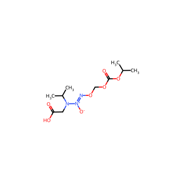 CC(C)OC(=O)OCON=[N+]([O-])N(CC(=O)O)C(C)C